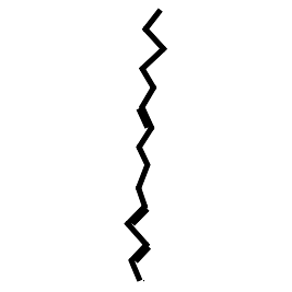 [CH2]C=CC=CCCCC=CCCCCC